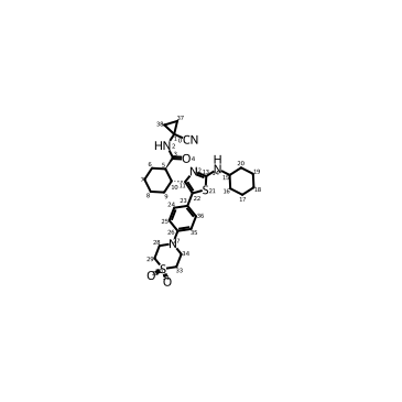 N#CC1(NC(=O)[C@@H]2CCCC[C@H]2c2nc(NC3CCCCC3)sc2-c2ccc(N3CCS(=O)(=O)CC3)cc2)CC1